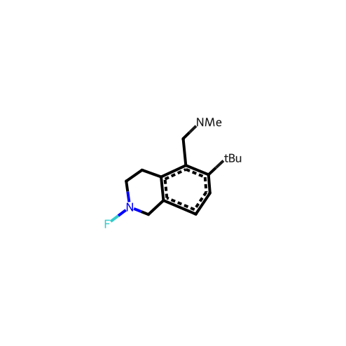 CNCc1c(C(C)(C)C)ccc2c1CCN(F)C2